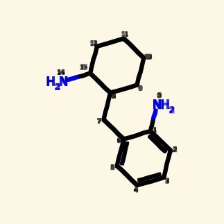 Nc1ccccc1CC1CCCCC1N